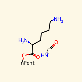 CCCCCOC(=O)[C@@H](N)CCCCN.N=C=O